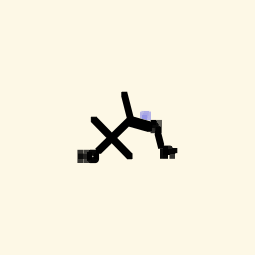 C/C(=N/C(C)C)C(C)(C)O